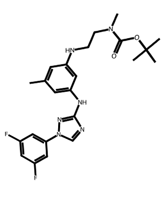 Cc1cc(NCCN(C)C(=O)OC(C)(C)C)cc(Nc2ncn(-c3cc(F)cc(F)c3)n2)c1